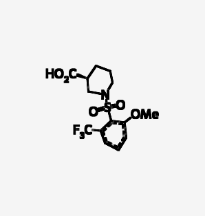 COc1cccc(C(F)(F)F)c1S(=O)(=O)N1CCC[C@H](C(=O)O)C1